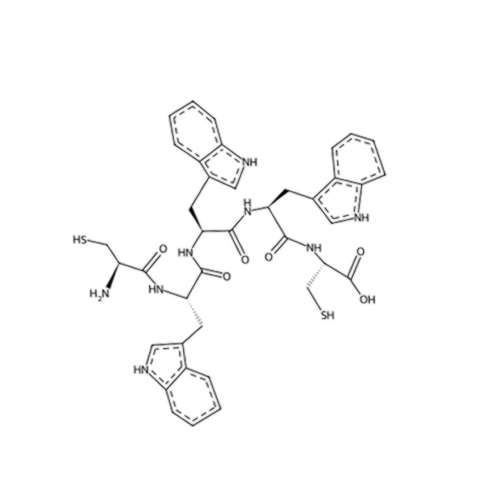 N[C@@H](CS)C(=O)N[C@@H](Cc1c[nH]c2ccccc12)C(=O)N[C@@H](Cc1c[nH]c2ccccc12)C(=O)N[C@@H](Cc1c[nH]c2ccccc12)C(=O)N[C@@H](CS)C(=O)O